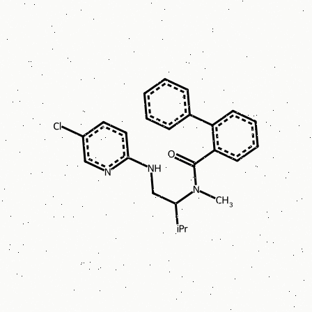 CC(C)C(CNc1ccc(Cl)cn1)N(C)C(=O)c1ccccc1-c1ccccc1